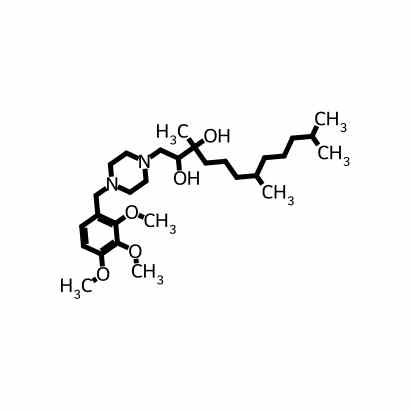 COc1ccc(CN2CCN(CC(O)C(C)(O)CCCC(C)CCCC(C)C)CC2)c(OC)c1OC